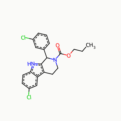 CCCOC(=O)N1CCc2c([nH]c3ccc(Cl)cc23)C1c1cccc(Cl)c1